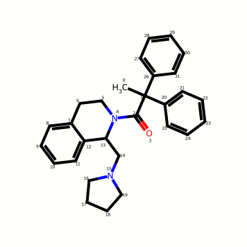 CC(C(=O)N1CCc2ccccc2C1CN1CCCC1)(c1ccccc1)c1ccccc1